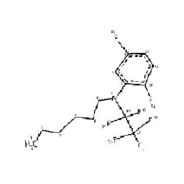 CCCCCCN(c1cc(F)ccc1F)C(F)(F)C(F)(F)F